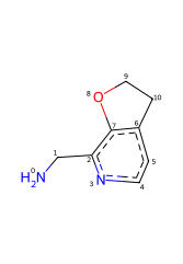 NCc1nccc2c1OCC2